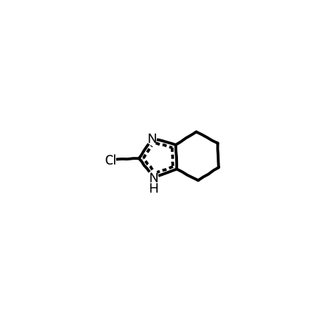 Clc1nc2c([nH]1)CCCC2